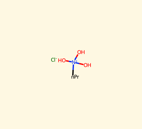 CCC[N+](O)(O)O.[Cl-]